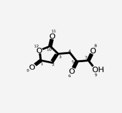 O=C1C=C(CC(=O)C(=O)O)C(=O)O1